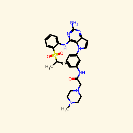 CC(C)S(=O)(=O)c1ccccc1Nc1nc(N)nc2ccn(-c3cccc(NC(=O)CN4CCN(C)CC4)c3)c12